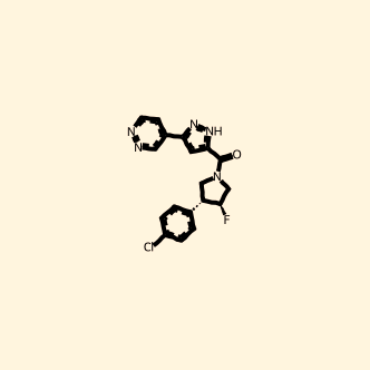 O=C(c1cc(-c2ccnnc2)n[nH]1)N1C[C@@H](F)[C@H](c2ccc(Cl)cc2)C1